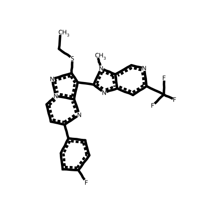 CCSc1nn2ccc(-c3ccc(F)cc3)nc2c1-c1nc2cc(C(F)(F)F)ncc2n1C